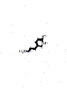 C/C=C/CC1=CC=C(Cl)NC1